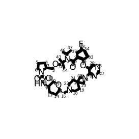 COCC1CCCN1S(=O)(=O)N[C@@H]1CC[C@@H](CN2CCC3(CC2)CN(c2ncncc2Oc2ccc(F)cc2C(=O)N(C(C)C)C(C)C)C3)OC1